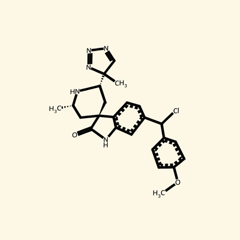 COc1ccc(C(Cl)c2ccc3c(c2)NC(=O)[C@@]32C[C@@H](C3(C)C=NN=N3)N[C@@H](C)C2)cc1